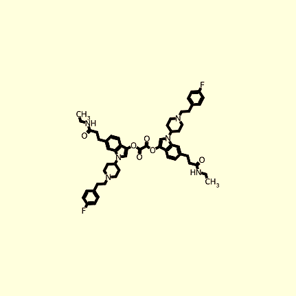 CCNC(=O)CCc1ccc2c(OC(=O)C(=O)Oc3cn(C4CCN(CCc5ccc(F)cc5)CC4)c4cc(CCC(=O)NCC)ccc34)cn(C3CCN(CCc4ccc(F)cc4)CC3)c2c1